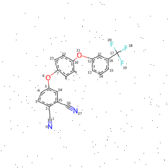 N#Cc1ccc(Oc2ccc(Oc3cccc(C(F)(F)F)c3)cc2)cc1C#N